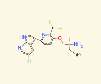 CC(C)C[C@](C)(N)COc1ccc(-c2c[nH]c3ncc(Cl)cc23)nc1C(F)F